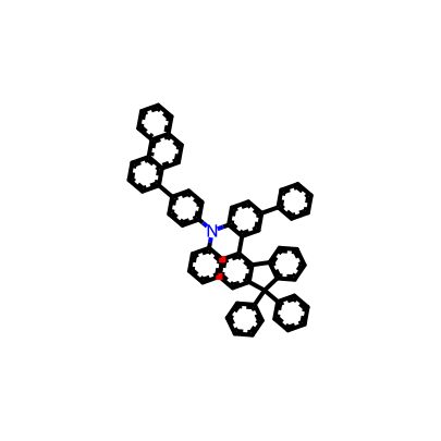 c1ccc(-c2ccc(N(c3ccccc3)c3ccc(-c4cccc5c4ccc4ccccc45)cc3)c(-c3cccc4c3-c3ccccc3C4(c3ccccc3)c3ccccc3)c2)cc1